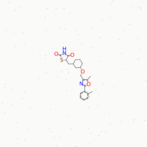 Cc1ccccc1-c1nc(COC2CCCC(CC3SC(=O)NC3=O)C2)c(C)o1